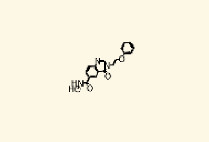 O=C(NO)c1ccc2ncn(CCOc3ccccc3)c(=O)c2c1